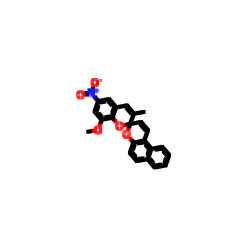 COc1cc([N+](=O)[O-])cc2c1OC1(C=Cc3c(ccc4ccccc34)O1)C(C)=C2